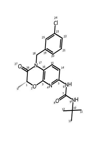 C[C@H]1Oc2nc(NC(=O)NC(C)(C)C)ccc2N(Cc2cccc(Cl)c2)C1=O